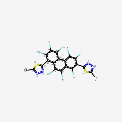 CCc1nnc(-c2c(F)c(F)c3c(c2F)c(F)c(F)c2c(-c4nnc(CC)s4)c(F)c(F)c(F)c23)s1